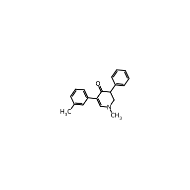 Cc1cccc(C2=CN(C)CC(c3ccccc3)C2=O)c1